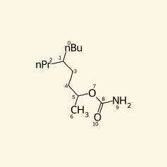 CCCCC(CCC)CCC(C)OC(N)=O